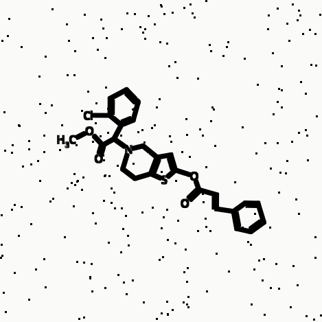 COC(=O)C(c1ccccc1Cl)N1CCc2sc(OC(=O)C=Cc3ccccc3)cc2C1